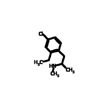 CCc1cc(Cl)ccc1CC(C)NC